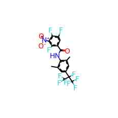 Cc1cc(C(F)(C(F)(F)F)C(F)(F)F)cc(C)c1NC(=O)c1cc(F)c(F)c([N+](=O)[O-])c1F